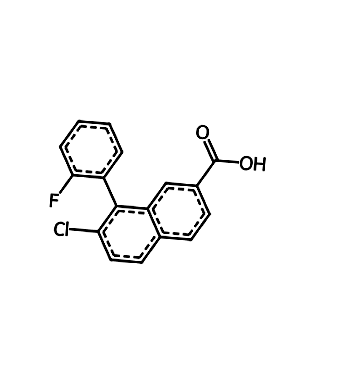 O=C(O)c1ccc2ccc(Cl)c(-c3ccccc3F)c2c1